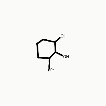 CCCC1CCCC(O)C1O